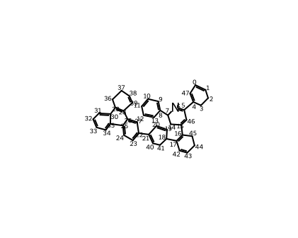 C1=CCCC(C2=NC(c3ccccc3)CC(C3=C(C4C=CC(c5ccc6c(c5)c5c(c7ccccc76)CCC=C5)=CC4)C=CCC3)=C2)=C1